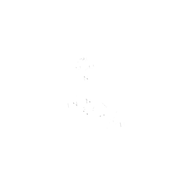 CC(C)Nc1nc2cc(S(C)(=O)=O)ccc2n1C1CCN(C(=O)OC(C)(C)C)CC1